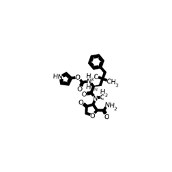 CN(C(=O)[C@H](CC(C)(C)Cc1ccccc1)NC(=O)Oc1cc[nH]c1)C1C(=O)COC1C(N)=O